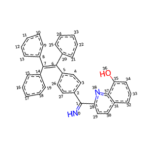 N=C(c1ccc(C(=C(c2ccccc2)c2ccccc2)c2ccccc2)cc1)c1ccc2cccc(O)c2n1